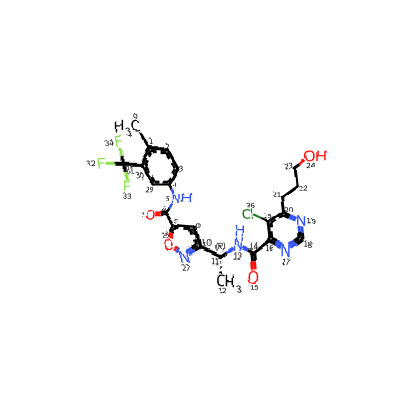 Cc1ccc(NC(=O)c2cc([C@@H](C)NC(=O)c3ncnc(CCCO)c3Cl)no2)cc1C(F)(F)F